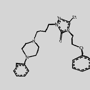 CCc1nn(CCCN2CCN(c3ccccc3)CC2)c(=O)n1CCOc1ccccc1